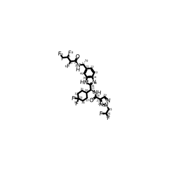 C[C@@H](NC(=O)C(F)C(F)CF)c1ccc2nc([C@@H](NC(=O)c3cnn(CC(F)F)n3)C3CCC(F)(F)CC3)[nH]c2c1